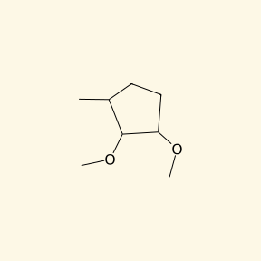 COC1CCC(C)C1OC